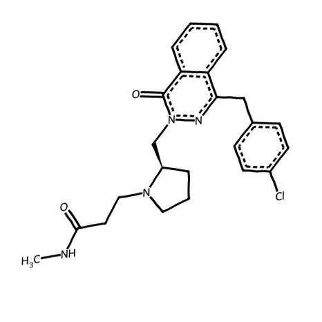 CNC(=O)CCN1CCC[C@@H]1Cn1nc(Cc2ccc(Cl)cc2)c2ccccc2c1=O